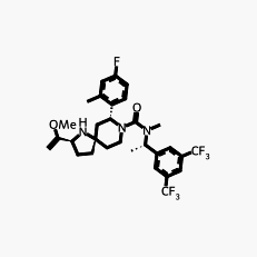 C=C(OC)[C@@H]1CC[C@@]2(CCN(C(=O)N(C)[C@@H](C)c3cc(C(F)(F)F)cc(C(F)(F)F)c3)[C@@H](c3ccc(F)cc3C)C2)N1